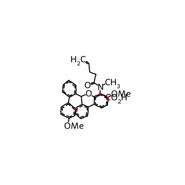 C=CCCC(=O)N(C)C(COC(c1ccccc1-c1ccc(OC)cc1)c1ccccc1-c1ccc(OC)cc1)C(=O)O